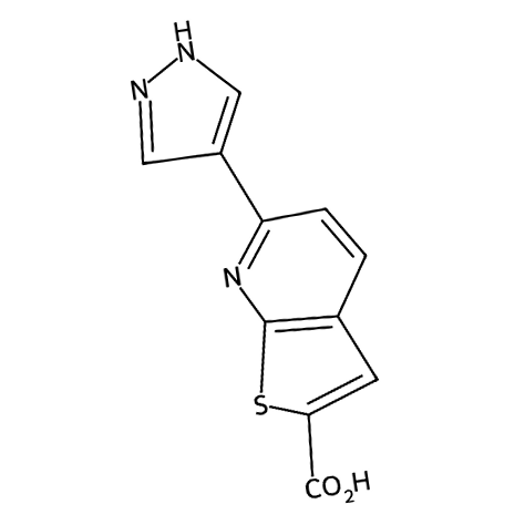 O=C(O)c1cc2ccc(-c3cn[nH]c3)nc2s1